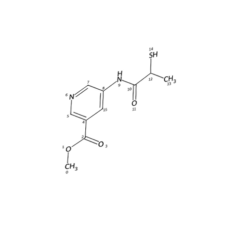 COC(=O)c1cncc(NC(=O)C(C)S)c1